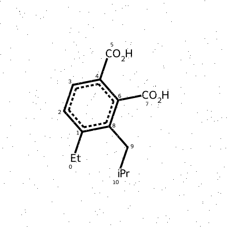 CCc1ccc(C(=O)O)c(C(=O)O)c1CC(C)C